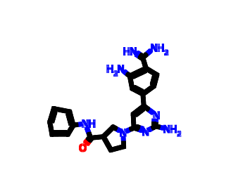 N=C(N)c1ccc(-c2cc(N3CCC(C(=O)Nc4ccccc4)C3)nc(N)n2)cc1N